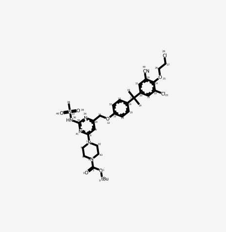 CC(C)(C)OC(=O)N1CCN(c2cc(COc3ccc(C(C)(C)c4cc(Cl)c(OCCCl)c(C#N)c4)cc3)nc(NS(C)(=O)=O)n2)CC1